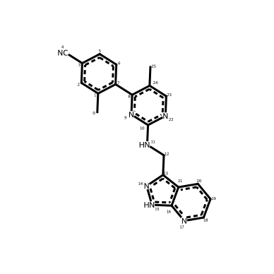 Cc1cc(C#N)ccc1-c1nc(NCc2n[nH]c3ncccc23)ncc1C